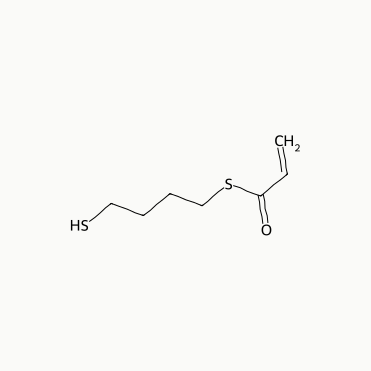 C=CC(=O)SCCCCS